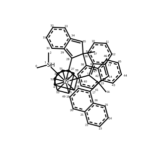 C[SiH](C)[C]12[CH]3[CH]4[C]5(C6=c7ccccc7=CC6(C)c6cccc7ccccc67)[C]1(C1=c6ccccc6=CC1(C)c1cccc6ccccc16)[Zr]43521678[CH]2[CH]1[CH]6[CH]7[CH]28